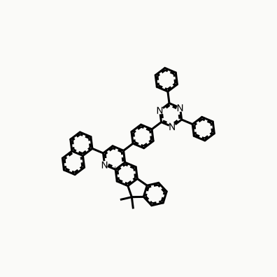 CC1(C)c2ccccc2-c2cc3c(-c4ccc(-c5nc(-c6ccccc6)nc(-c6ccccc6)n5)cc4)cc(-c4cccc5ccccc45)nc3cc21